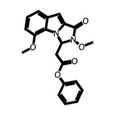 COc1cccc2cc3n(c12)C(CC(=O)Oc1ccccc1)N(OC)C3=O